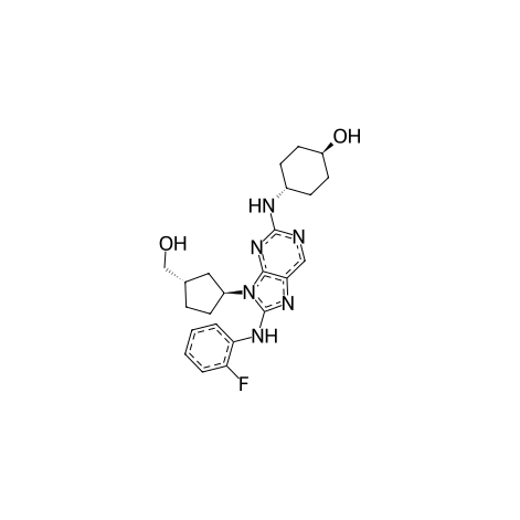 OC[C@H]1CC[C@H](n2c(Nc3ccccc3F)nc3cnc(N[C@H]4CC[C@H](O)CC4)nc32)C1